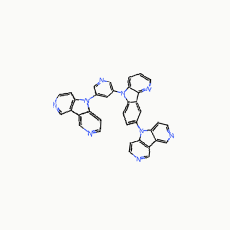 c1cnc2c3cc(-n4c5ccncc5c5cnccc54)ccc3n(-c3cncc(-n4c5ccncc5c5cnccc54)c3)c2c1